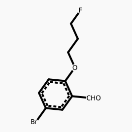 O=Cc1cc(Br)ccc1OCCCF